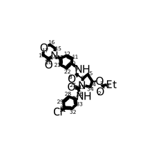 CCC(=O)O[C@@H]1C[C@H](C(=O)Nc2ccc(N3CCOCC3=O)cc2)N(C(=O)Nc2ccc(Cl)cc2)C1